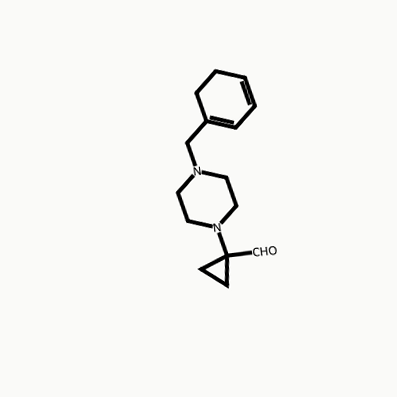 O=CC1(N2CCN(CC3=CC=CCC3)CC2)CC1